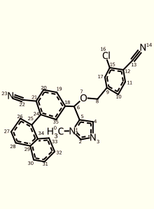 Cn1cncc1C(OCc1ccc(C#N)c(Cl)c1)c1ccc(C#N)c(-c2cccc3ccccc23)c1